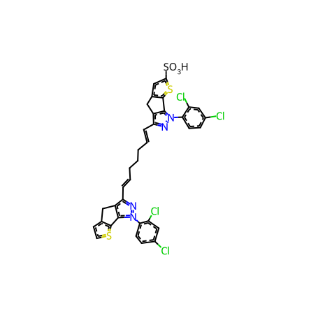 O=S(=O)(O)c1cc2c(s1)-c1c(c(/C=C/CCC/C=C/c3nn(-c4ccc(Cl)cc4Cl)c4c3Cc3ccsc3-4)nn1-c1ccc(Cl)cc1Cl)C2